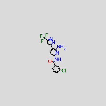 Cn1nc(C(F)(F)F)cc1-c1ccc(NC(=O)c2cccc(Cl)c2)nc1N